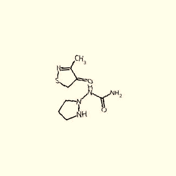 CC1=NSCC1=O.NC(=O)NN1CCCN1